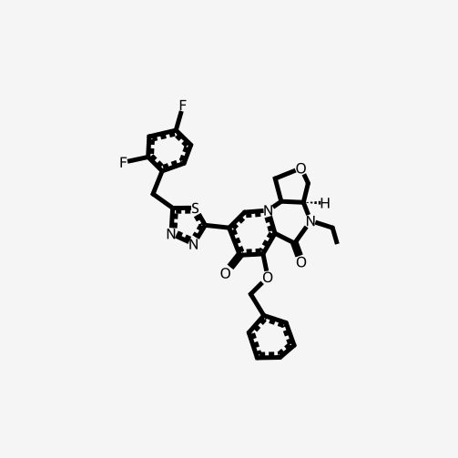 CCN1C(=O)c2c(OCc3ccccc3)c(=O)c(-c3nnc(Cc4ccc(F)cc4F)s3)cn2C2COC[C@H]21